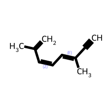 C#C/C(C)=C/C=C\C(=C)C